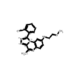 COCCNc1ccc2nc(C)c3nnc(-c4ccccc4Cl)n3c2c1